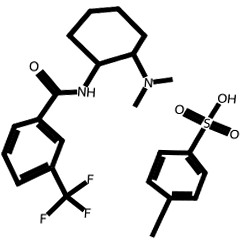 CN(C)C1CCCCC1NC(=O)c1cccc(C(F)(F)F)c1.Cc1ccc(S(=O)(=O)O)cc1